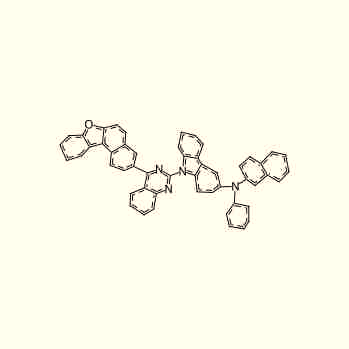 c1ccc(N(c2ccc3ccccc3c2)c2ccc3c(c2)c2ccccc2n3-c2nc(-c3ccc4c(ccc5oc6ccccc6c54)c3)c3ccccc3n2)cc1